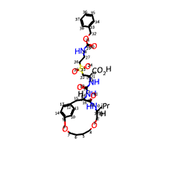 CC(C)[C@H]1COCCCCOc2ccc(cc2)C[C@@H](NC(=O)N[C@@H](CS(=O)(=O)CCNC(=O)OCc2ccccc2)C(=O)O)C(=O)N1